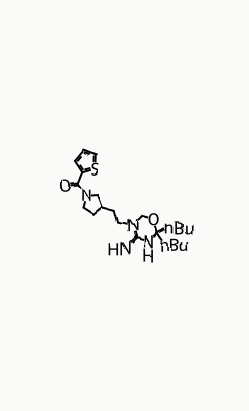 CCCCC1(CCCC)NC(=N)N(CCC2CCN(C(=O)c3cccs3)C2)CO1